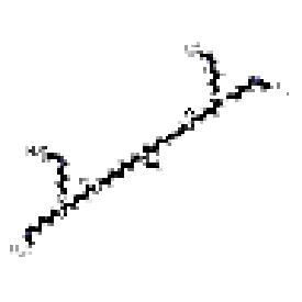 CC/C=C\CCCCOC(CCCC(=O)OCCCCCCCN(CCO)CCCCCCCOC(=O)CCCC(OCCCC/C=C\CC)OCCCC/C=C\CC)OCCCC/C=C\CC